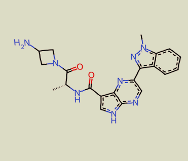 C[C@@H](NC(=O)c1c[nH]c2ncc(-c3nn(C)c4ccccc34)nc12)C(=O)N1CC(N)C1